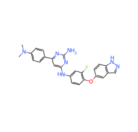 CN(C)c1ccc(-c2cc(Nc3ccc(Oc4ccc5[nH]ncc5c4)c(F)c3)nc(N)n2)cc1